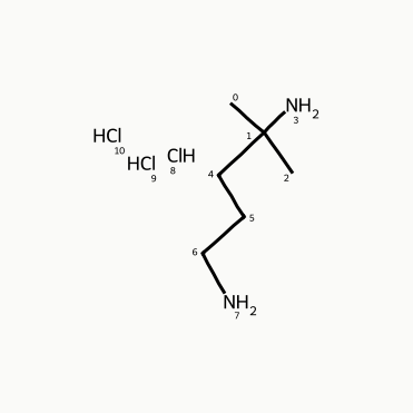 CC(C)(N)CCCN.Cl.Cl.Cl